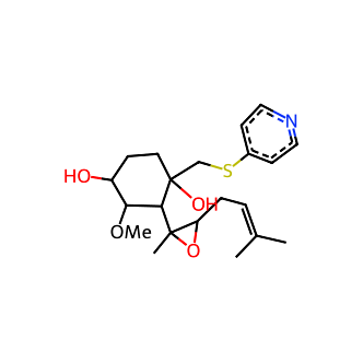 COC1C(O)CCC(O)(CSc2ccncc2)C1C1(C)OC1CC=C(C)C